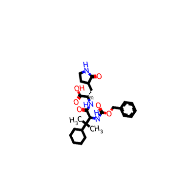 CC(C)(C1CCCCC1)C(NC(=O)OCc1ccccc1)C(=O)N[C@@H](CC1CCNC1=O)C(=O)O